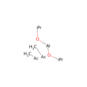 CC(C)=O.CC(C)=O.CC(C)[O][Al][O]C(C)C